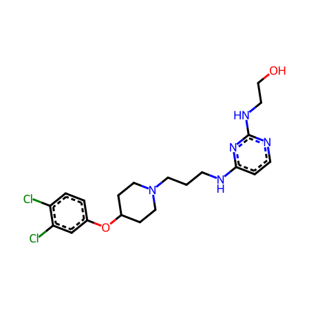 OCCNc1nccc(NCCCN2CCC(Oc3ccc(Cl)c(Cl)c3)CC2)n1